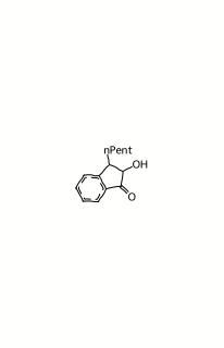 CCCCCC1c2ccccc2C(=O)C1O